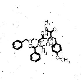 CNC(=O)[C@@H](Cc1ccc(OC)cc1)N(C)C(=O)[C@@H](COCc1ccccc1)N(C)C(=O)c1ccccc1